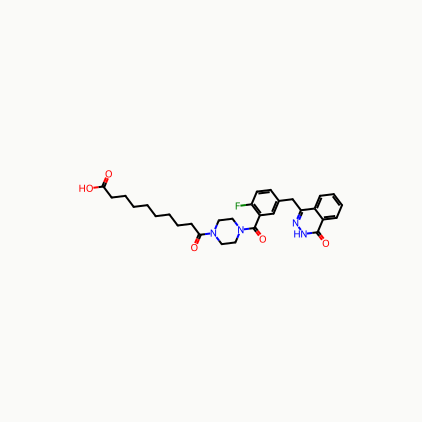 O=C(O)CCCCCCCCC(=O)N1CCN(C(=O)c2cc(Cc3n[nH]c(=O)c4ccccc34)ccc2F)CC1